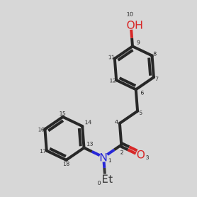 CCN(C(=O)CCc1ccc(O)cc1)c1ccccc1